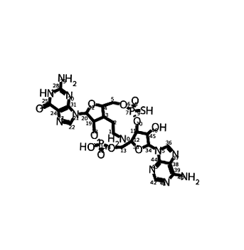 NCCC1C2COP(=O)(S)OC3C(COP(=O)(O)OC1C(n1cnc4c(=O)[nH]c(N)nc41)O2)OC(n1cnc2c(N)ncnc21)C3O